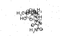 CC(=O)C(O)[C@H]1O[C@@H](N2[C+]=NC(C(N)=O)=C2[O-])[C@@](O)(C(C)=O)[C@@]1(O)C(C)=O